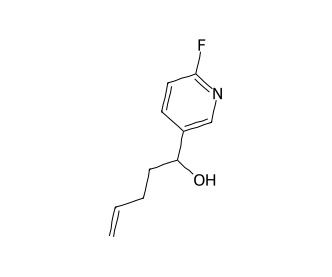 C=CCCC(O)c1ccc(F)nc1